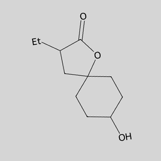 CCC1CC2(CCC(O)CC2)OC1=O